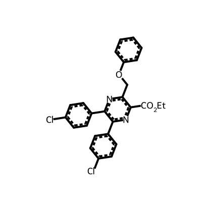 CCOC(=O)c1nc(-c2ccc(Cl)cc2)c(-c2ccc(Cl)cc2)nc1COc1ccccc1